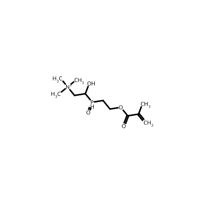 C=C(C)C(=O)OCC[PH](=O)C(O)C[N+](C)(C)C